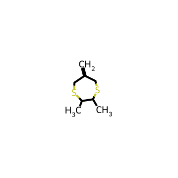 C=C1CSC(C)C(C)SC1